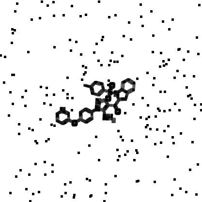 Cc1ccc(S(=O)(=O)n2c(C(=O)c3cnn(-c4ccc(Oc5cccnc5)cc4)c3N)cc3ccccc32)cc1